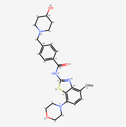 COc1ccc(N2CCOCC2)c2sc(NC(=O)c3ccc(CN4CCC(O)CC4)cc3)nc12